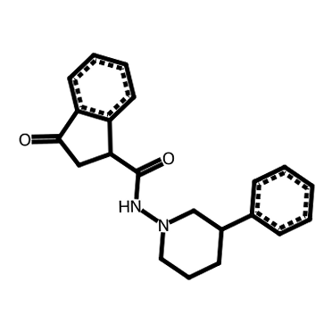 O=C1CC(C(=O)NN2CCCC(c3ccccc3)C2)c2ccccc21